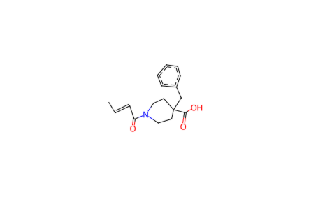 C/C=C/C(=O)N1CCC(Cc2ccccc2)(C(=O)O)CC1